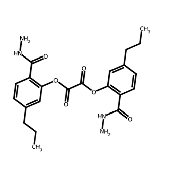 CCCc1ccc(C(=O)NN)c(OC(=O)C(=O)Oc2cc(CCC)ccc2C(=O)NN)c1